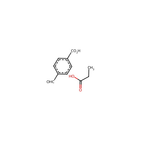 CCC(=O)O.O=Cc1ccc(C(=O)O)cc1